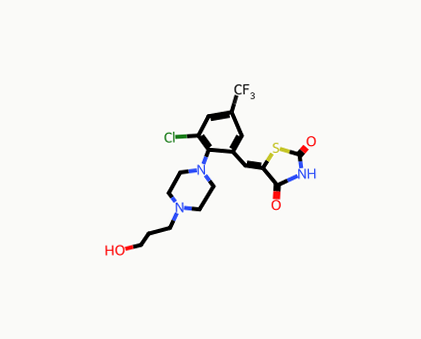 O=C1NC(=O)C(=Cc2cc(C(F)(F)F)cc(Cl)c2N2CCN(CCCO)CC2)S1